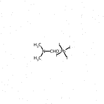 CN(C)C=O.[I][Pb]([I])([I])[I]